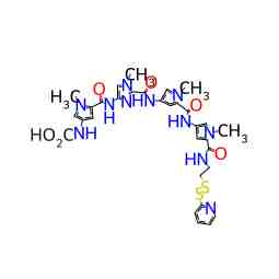 Cn1cc(NC(=O)c2cc(NC(=O)c3nc(NC(=O)c4cc(NC(=O)O)cn4C)cn3C)cn2C)cc1C(=O)NCCSSc1ccccn1